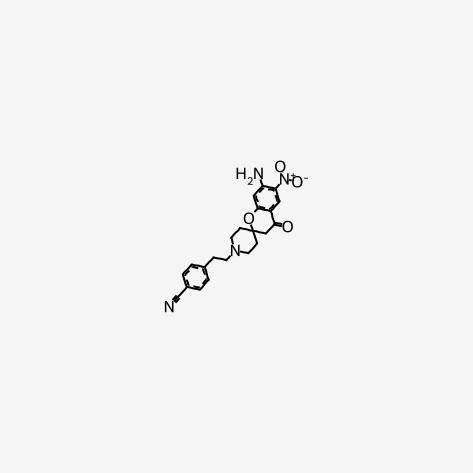 N#Cc1ccc(CCN2CCC3(CC2)CC(=O)c2cc([N+](=O)[O-])c(N)cc2O3)cc1